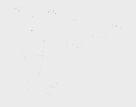 CCC(c1cccc(OC)c1)C(C)(C(=O)OC(C)N)c1ccccc1